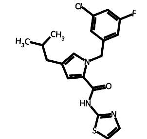 CC(C)Cc1cc(C(=O)Nc2nccs2)n(Cc2cc(F)cc(Cl)c2)c1